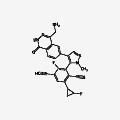 C#Cc1cc(C2CC2F)c(C#N)c(-c2c(-c3ccc4c(=O)[nH]nc(CN)c4c3)cnn2C)c1F